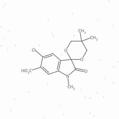 CN1C(=O)C2(OCC(C)(C)CO2)c2cc(Cl)c(C(=O)O)cc21